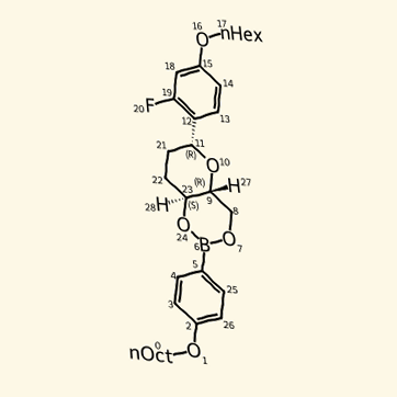 CCCCCCCCOc1ccc(B2OC[C@H]3O[C@@H](c4ccc(OCCCCCC)cc4F)CC[C@@H]3O2)cc1